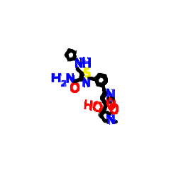 CN1CCC(O)(c2cc(-c3cccc(-c4nc(C(N)=O)c(CNC5CCCC5)s4)c3)no2)C1=O